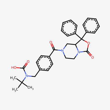 CC(C)(C)N(Cc1ccc(C(=O)N2CCN3C(=O)OC(c4ccccc4)(c4ccccc4)C3C2)cc1)C(=O)O